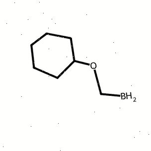 BCOC1CCCCC1